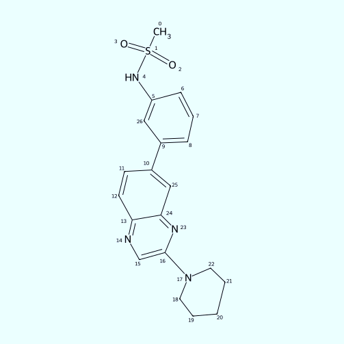 CS(=O)(=O)Nc1cccc(-c2ccc3ncc(N4CCCCC4)nc3c2)c1